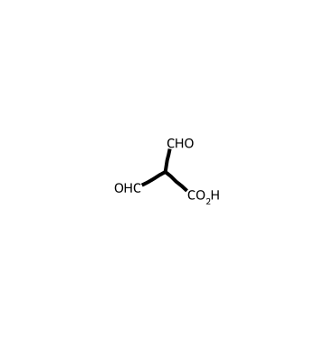 O=CC(C=O)C(=O)O